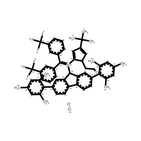 CCCC1C=C(C(C)(C)C)C=[C]1[Zr+2](=[C](c1cccc(C(F)(F)F)c1)c1cccc(C(F)(F)F)c1)[CH]1c2cc(-c3c(C)cc(C)cc3C)ccc2-c2ccc(-c3c(C)cc(C)cc3C)cc21.[Cl-].[Cl-]